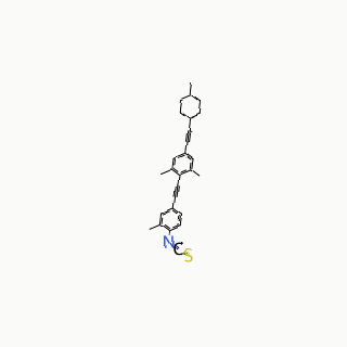 Cc1cc(C#Cc2c(C)cc(C#CC3CCC(C)CC3)cc2C)ccc1N=C=S